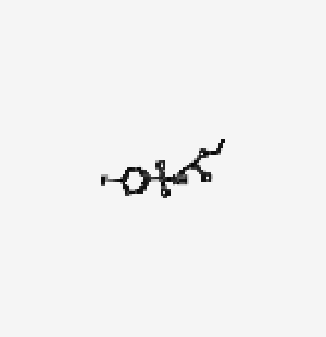 CCOC(=O)CNS(=O)(=O)c1ccc(F)cc1